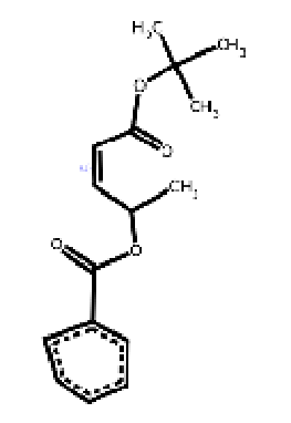 CC(/C=C\C(=O)OC(C)(C)C)OC(=O)c1ccccc1